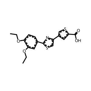 CCOc1ccc(-c2nc(-c3csc(C(=O)O)c3)cs2)cc1OCC